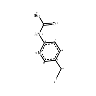 CC(C)(C)C(=O)Nc1ccc(CI)cn1